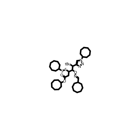 CC(C)(C)C(c1cn(C2CCCCCCC2)nn1)C(O/N=C/C1CCCCCCC1)C(CC(=O)OC1CCCCCCC1)SSC1CCCCCCC1